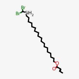 CC=CC(=O)OCCCCCCCCCCCCCCCCCCC[SiH2]C(Br)Br